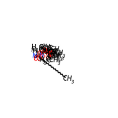 CCCCCCCCCCCCCCCCCCCCCC(=O)OC(c1cnco1)c1nc(C(CC(O[Si](C)(C)C(C)(C)C)C(O[Si](C)(C)C(C)(C)C)C(C)O[Si](C)(C)C(C)(C)C)O[Si](C)(C)C(C)(C)C)co1